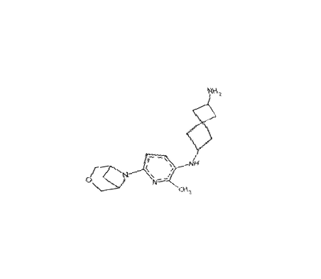 Cc1nc(N2C3COCC2C3)ccc1NC1CC2(CC(N)C2)C1